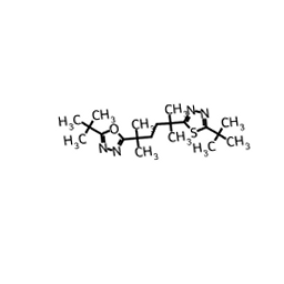 CC(C)(C)c1nnc(C(C)(C)CCC(C)(C)c2nnc(C(C)(C)C)s2)o1